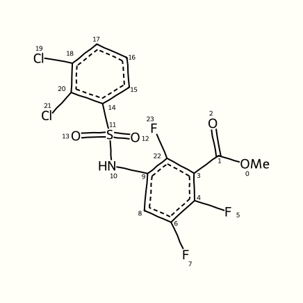 COC(=O)c1c(F)c(F)cc(NS(=O)(=O)c2cccc(Cl)c2Cl)c1F